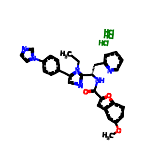 CCn1c(-c2ccc(-n3ccnc3)cc2)cnc1[C@H](Cc1ccccn1)NC(=O)c1cc2cc(OC)ccc2o1.Cl.Cl.Cl